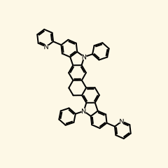 c1ccc(-n2c3ccc(-c4ccccn4)cc3c3cc4c(cc32)-c2ccc3c5cc(-c6ccccn6)ccc5n(-c5ccccc5)c3c2CC4)cc1